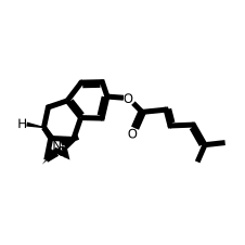 CC(C)=C/C=C/C(=O)Oc1ccc2c(c1)[C@@]13CCC[C@@]4(C1)C3[C@H](C2)N4C